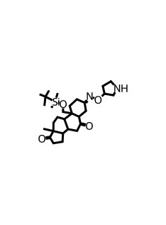 CC12CCC3C(CC(=O)C4CC(=NOC5CCNC5)CCC43CO[Si](C)(C)C(C)(C)C)C1CCC2=O